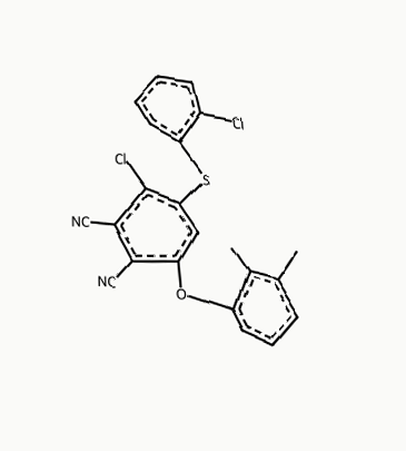 Cc1cccc(Oc2cc(Sc3ccccc3Cl)c(Cl)c(C#N)c2C#N)c1C